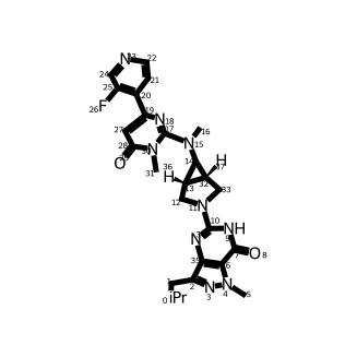 CC(C)Cc1nn(C)c2c(=O)[nH]c(N3C[C@@H]4C(N(C)c5nc(-c6ccncc6F)cc(=O)n5C)[C@@H]4C3)nc12